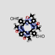 CC1(C)C[C@@H]1C(=O)Nc1cccc(NC(=O)[C@@H]2CC2(C)C)c1-c1c2nc(c(-c3ccc(C=O)cc3)c3ccc([nH]3)c(-c3c(NC(=O)[C@H]4CC4(C)C)cccc3NC(=O)[C@@H]3CC3(C)C)c3nc(c(-c4ccc(C=O)cc4)c4ccc1[nH]4)C=C3)C=C2